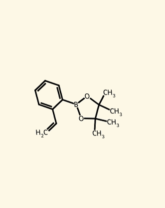 C=Cc1ccccc1B1OC(C)(C)C(C)(C)O1